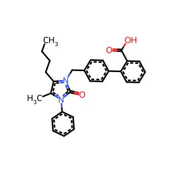 CCCCc1c(C)n(-c2ccccc2)c(=O)n1Cc1ccc(-c2ccccc2C(=O)O)cc1